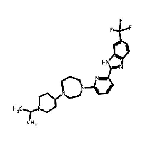 CC(C)N1CCC(N2CCCN(c3cccc(-c4nc5ccc(C(F)(F)F)cc5[nH]4)n3)CC2)CC1